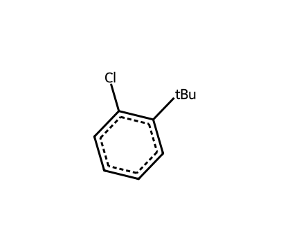 CC(C)(C)c1ccccc1Cl